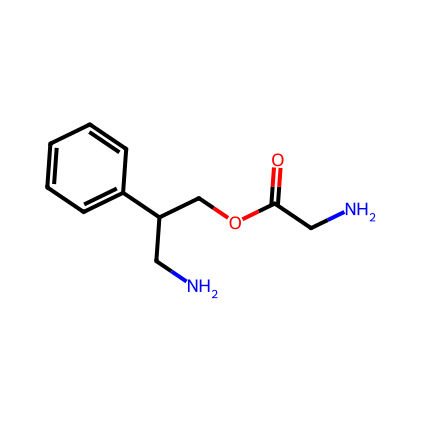 NCC(=O)OCC(CN)c1ccccc1